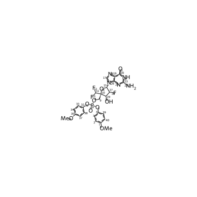 COc1ccc(OP(=O)(OC[C@@]2(C(F)F)O[C@@H](n3cnc4c(=O)[nH]c(N)nc43)C(F)C2O)Oc2ccc(OC)cc2)cc1